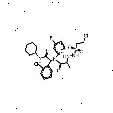 CC(NNS(=O)(=O)CCCl)C(=O)N(c1cccc(F)c1)C(C(=O)NC1CCCCC1)c1ccccc1Cl